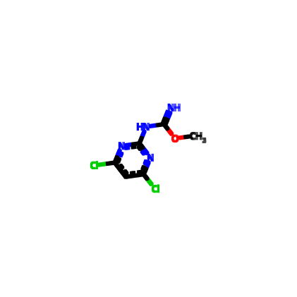 COC(=N)Nc1nc(Cl)cc(Cl)n1